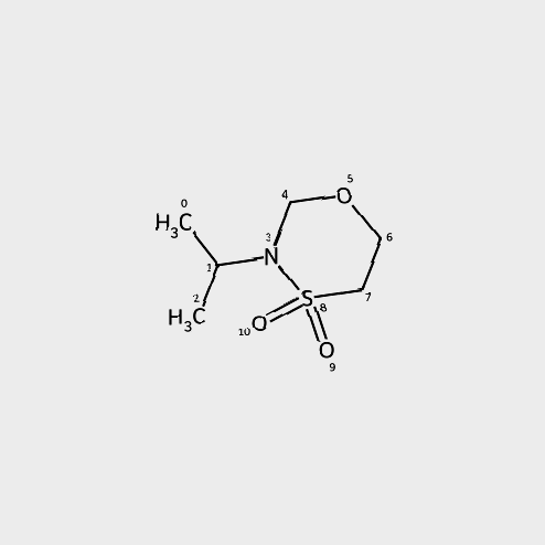 CC(C)N1COCCS1(=O)=O